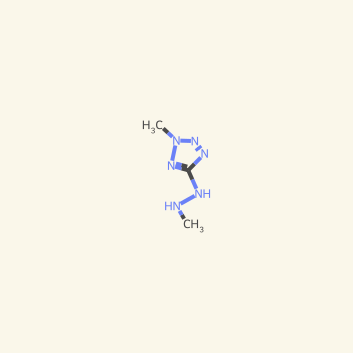 CNNc1nnn(C)n1